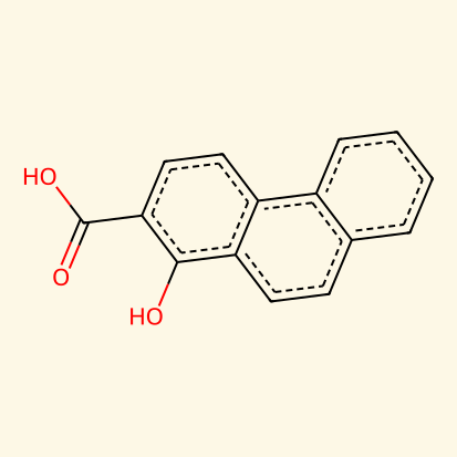 O=C(O)c1ccc2c(ccc3ccccc32)c1O